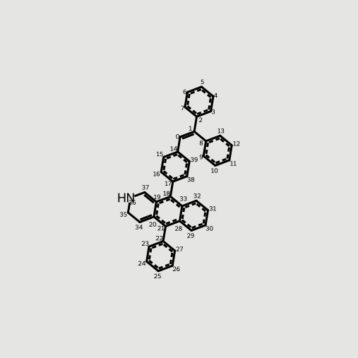 C(=C(c1ccccc1)c1ccccc1)c1ccc(-c2c3c(c(-c4ccccc4)c4ccccc24)=CCNC=3)cc1